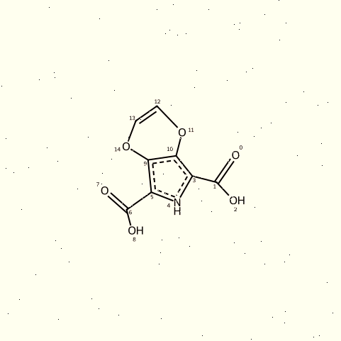 O=C(O)c1[nH]c(C(=O)O)c2c1OC=CO2